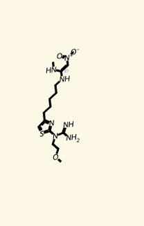 CN/C(=C\[N+](=O)[O-])NCCCCCc1csc(N(CCOC)C(=N)N)n1